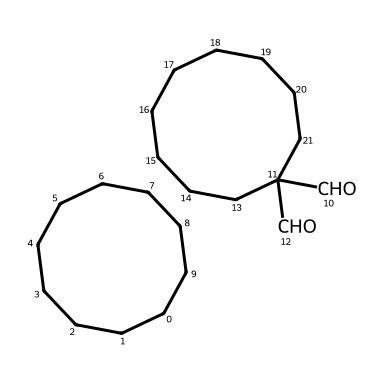 C1CCCCCCCCC1.O=CC1(C=O)CCCCCCCCC1